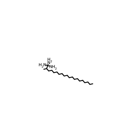 CCCCCCCCCCCCCCCCCCC(C)C(N)(N)N